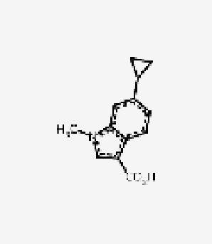 Cn1cc(C(=O)O)c2ccc(C3CC3)cc21